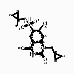 CC1(NS(=O)(=O)c2cc3c(=O)[nH]c(=O)n(CC4CC4)c3cc2Cl)CC1